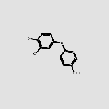 CCc1ccc(Oc2ccc(C(=O)O)cn2)cc1Cl